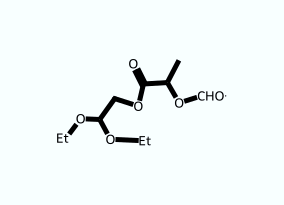 CCOC(COC(=O)C(C)O[C]=O)OCC